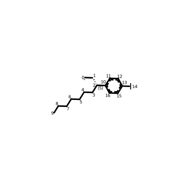 [CH2]C[C@@H](CCCCCCC)c1ccc(I)cc1